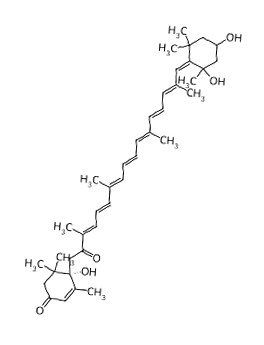 CC1=CC(=O)CC(C)(C)[C@@]1(O)CC(=O)/C(C)=C/C=C/C(C)=C/C=C/C=C(C)/C=C/C=C(C)/C=C1/C(C)(C)CC(O)CC1(C)O